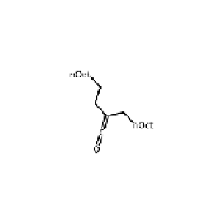 CCCCCCCCCCC(=C=O)CCCCCCCCC